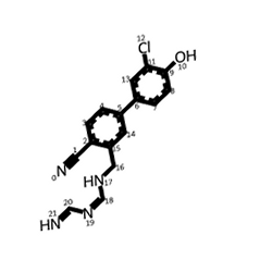 N#Cc1ccc(-c2ccc(O)c(Cl)c2)cc1CN/C=N\C=N